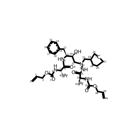 C=CCOC(=O)N[C@H](C(=O)N[C@@H](Cc1ccccc1)[C@@H](O)CN(CC1CCCCC1)NC(=O)[C@@H](NC(=O)OCC=C)C(C)C)C(C)C